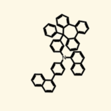 c1ccc(C2(c3cccc(N(c4ccc(-c5cccc6ccccc56)cc4)c4cccc5ccccc45)c3)c3ccccc3-c3ccccc3-c3ccccc32)cc1